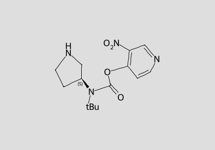 CC(C)(C)N(C(=O)Oc1ccncc1[N+](=O)[O-])[C@H]1CCNC1